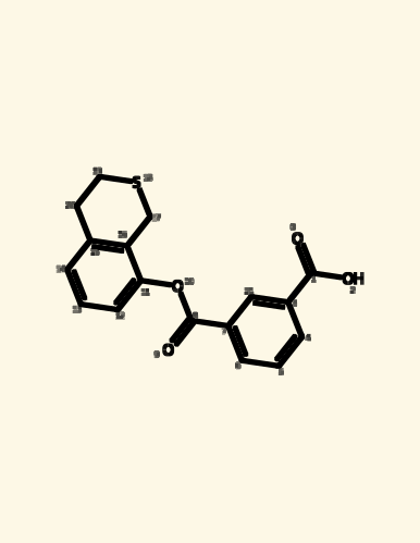 O=C(O)c1cccc(C(=O)Oc2cccc3c2CSCC3)c1